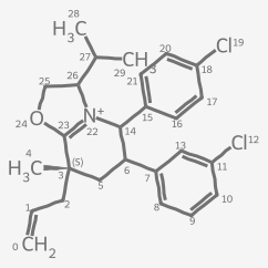 C=CC[C@@]1(C)CC(c2cccc(Cl)c2)C(c2ccc(Cl)cc2)[N+]2=C1OCC2C(C)C